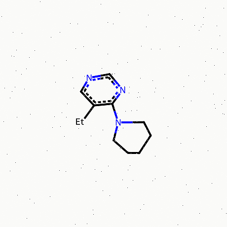 CCc1cn[c]nc1N1CCCCC1